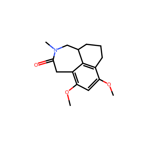 COc1cc(OC)c2c3c1CCCC3CN(C)C(=O)C2